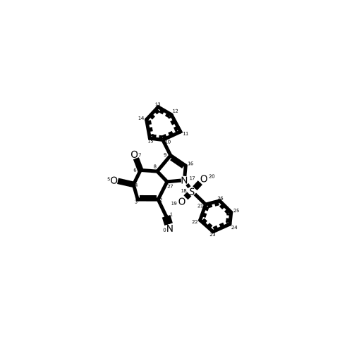 N#CC1=CC(=O)C(=O)C2C(c3ccccc3)=CN(S(=O)(=O)c3ccccc3)C12